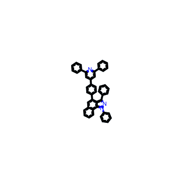 c1ccc(-c2cc(-c3ccc(-c4cc5ccccc5c5c4c(-c4ccccc4)nn5-c4ccccc4)cc3)cc(-c3ccccc3)n2)cc1